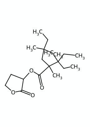 CCC(C)(C)CC(C)(C(=O)OC1CCOC1=O)C(C)(CC)CC